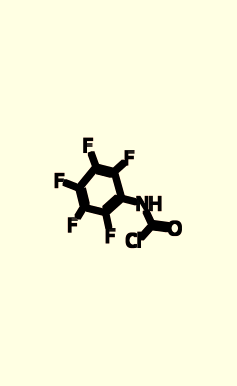 O=C(Cl)Nc1c(F)c(F)c(F)c(F)c1F